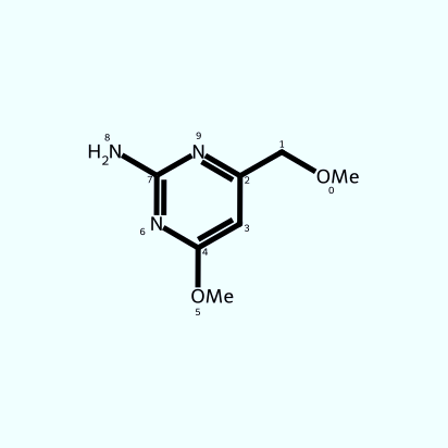 COCc1cc(OC)nc(N)n1